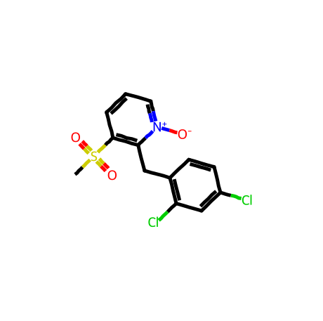 CS(=O)(=O)c1ccc[n+]([O-])c1Cc1ccc(Cl)cc1Cl